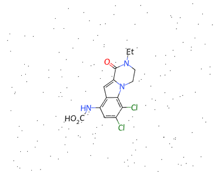 CCN1CCn2c(cc3c(NC(=O)O)cc(Cl)c(Cl)c32)C1=O